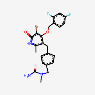 Cc1[nH]c(=O)c(Br)c(OCc2ccc(F)cc2F)c1Cc1ccc(CN(C)C(N)=O)cc1